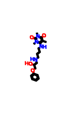 Cc1c(NCCCCNCC(O)COc2ccccc2)n(C)c(=O)n(C)c1=O